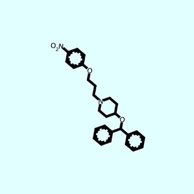 O=[N+]([O-])c1ccc(OCCCN2CCC(OC(c3ccccc3)c3ccccc3)CC2)cc1